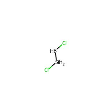 ClB[SiH2]Cl